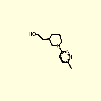 Cc1ccc(N2CCCC(CCO)C2)nn1